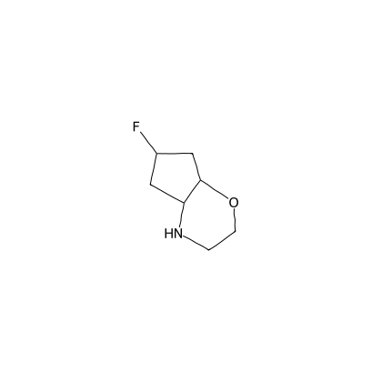 FC1CC2NCCOC2C1